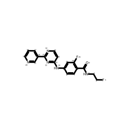 O=C(NCCF)c1ccc(Nc2ccnc(-c3cccnc3)n2)cc1F